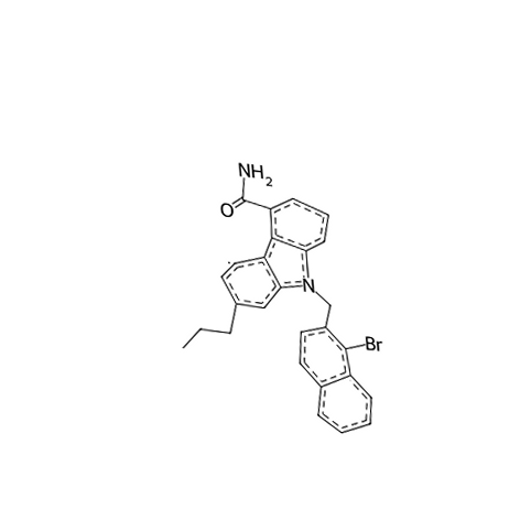 CCCc1c[c]c2c3c(C(N)=O)cccc3n(Cc3ccc4ccccc4c3Br)c2c1